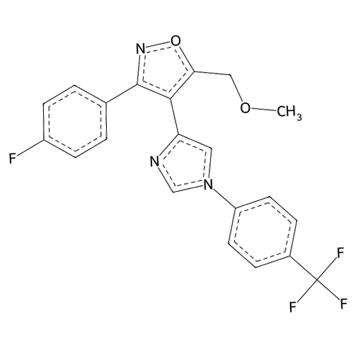 COCc1onc(-c2ccc(F)cc2)c1-c1cn(-c2ccc(C(F)(F)F)cc2)cn1